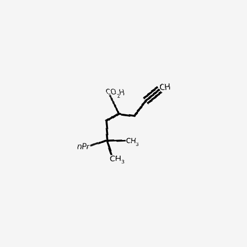 C#CCC(CC(C)(C)CCC)C(=O)O